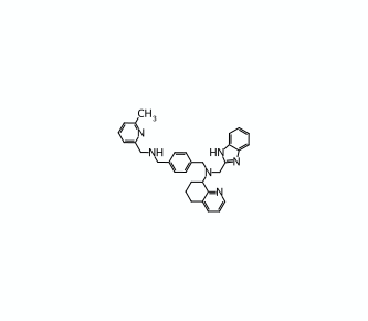 Cc1cccc(CNCc2ccc(CN(Cc3nc4ccccc4[nH]3)C3CCCc4cccnc43)cc2)n1